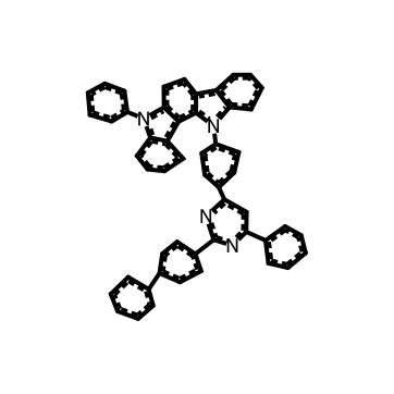 c1ccc(-c2ccc(-c3nc(-c4ccccc4)cc(-c4ccc(-n5c6ccccc6c6ccc7c(c8ccccc8n7-c7ccccc7)c65)cc4)n3)cc2)cc1